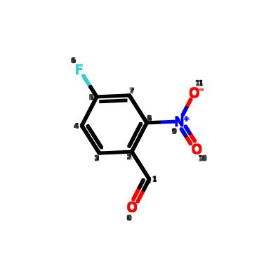 O=[C]c1ccc(F)cc1[N+](=O)[O-]